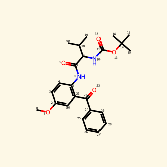 COc1ccc(NC(=O)C(NC(=O)OC(C)(C)C)C(C)C)c(C(=O)c2ccccc2)c1